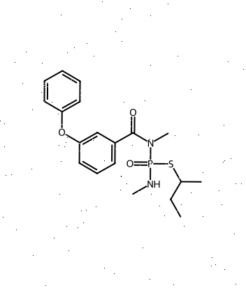 CCC(C)SP(=O)(NC)N(C)C(=O)c1cccc(Oc2ccccc2)c1